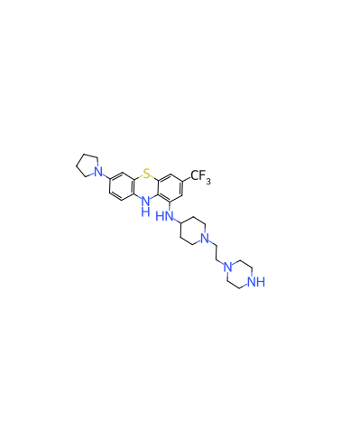 FC(F)(F)c1cc(NC2CCN(CCN3CCNCC3)CC2)c2c(c1)Sc1cc(N3CCCC3)ccc1N2